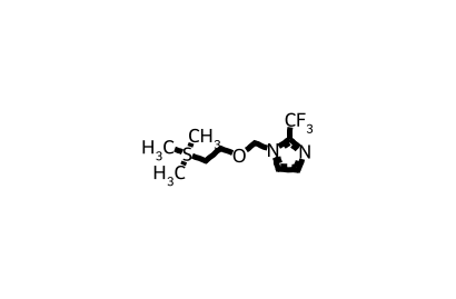 CS(C)(C)CCOCn1ccnc1C(F)(F)F